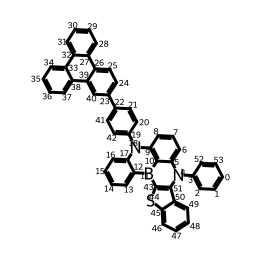 c1ccc(N2c3cccc4c3B(c3ccccc3N4c3ccc(-c4ccc5c6ccccc6c6ccccc6c5c4)cc3)c3sc4ccccc4c32)cc1